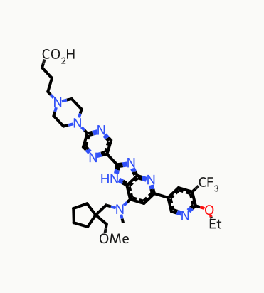 CCOc1ncc(-c2cc(N(C)CC3(COC)CCCC3)c3[nH]c(-c4cnc(N5CCN(CCCC(=O)O)CC5)cn4)nc3n2)cc1C(F)(F)F